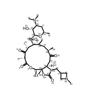 CC[C@H]1OC(=O)[C@H](C)C(=O)[C@H](C)[C@@H](O[C@@H]2O[C@H](C)C[C@H](N(C)C)[C@H]2O)[C@](C)(OC)C[C@@H](C)C(=O)[C@H](C)[C@H]2N(CC3CN(C)C3)C(=O)O[C@]12C